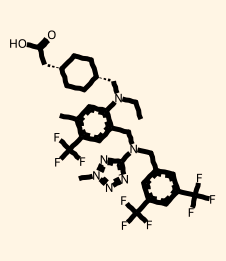 CCN(C[C@H]1CC[C@@H](CC(=O)O)CC1)c1cc(C)c(C(F)(F)F)cc1CN(Cc1cc(C(F)(F)F)cc(C(F)(F)F)c1)c1nnn(C)n1